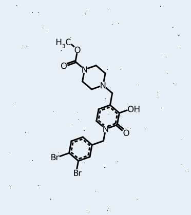 COC(=O)N1CCN(Cc2ccn(Cc3ccc(Br)c(Br)c3)c(=O)c2O)CC1